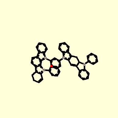 C1=Cc2c(c3ccc4c5ccccc5n(-c5cccc(-n6c7c(c8ccccc86)CC6C(=C7)c7ccccc7N6c6ccccc6)c5)c4c3n2-c2ccccc2)CC1